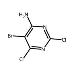 Nc1nc(Cl)nc(Cl)c1Br